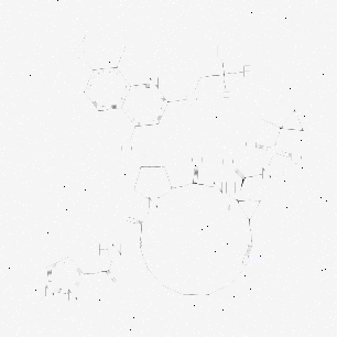 COc1ccc2c(O[C@@H]3C[C@H]4C(=O)N[C@]5(C(=O)NS(=O)(=O)C6(C)CC6)CC5/C=C\CCCCC[C@H](NC(=O)c5ccn(C)n5)C(=O)N4C3)cc(OCC(F)(F)F)nc2c1C